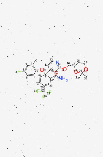 Cc1cc(F)ccc1OC1(c2ccnc(OCC3CCOC(C)(C)O3)c2)C=CC(C(F)(F)F)=CC1C(N)=O